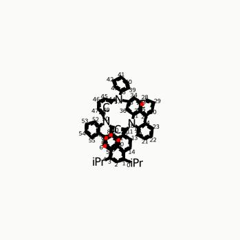 CC(C)c1cc(C(C)C)c2ccc3c4cc(c5ccc1c2c53)N(c1ccccc1-c1ccccc1)c1cccc(c1)N(c1ccccc1)c1cccc(c1)N4c1ccccc1-c1ccccc1